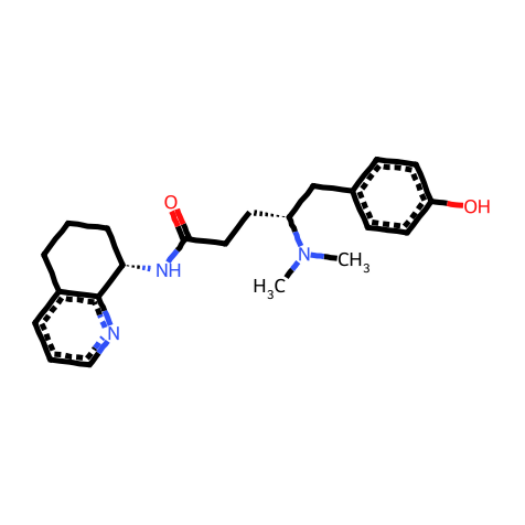 CN(C)[C@H](CCC(=O)N[C@H]1CCCc2cccnc21)Cc1ccc(O)cc1